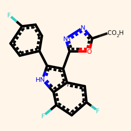 O=C(O)c1nnc(-c2c(-c3ccc(F)cc3)[nH]c3c(F)cc(F)cc23)o1